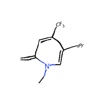 C=C1C=C(C(F)(F)F)C(C(C)C)=CN1C